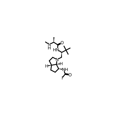 CN[C@@H](C)C(=O)N[C@H](CN1CC[C@H]2CC[C@H](NC(=O)I)[C@H]21)C(C)(C)C